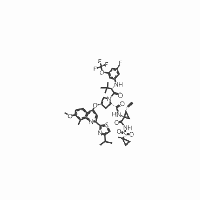 C=C[C@@H]1C[C@]1(NC(=O)[C@@H]1C[C@@H](Oc2cc(-c3nc(C(C)C)cs3)nc3c(C)c(OC)ccc23)CN1C(=O)[C@@H](Nc1cc(F)cc(OC(F)(F)F)c1)C(C)(C)C)C(=O)NS(=O)(=O)C1(C)CC1